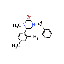 Br.Cc1ccc([C@@H]2CN([C@@H]3C[C@H]3c3ccccc3)CCN2C)c(C)c1